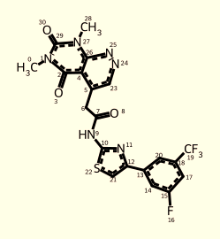 Cn1c(=O)c2c(CC(=O)Nc3nc(-c4cc(F)cc(C(F)(F)F)c4)cs3)cnnc2n(C)c1=O